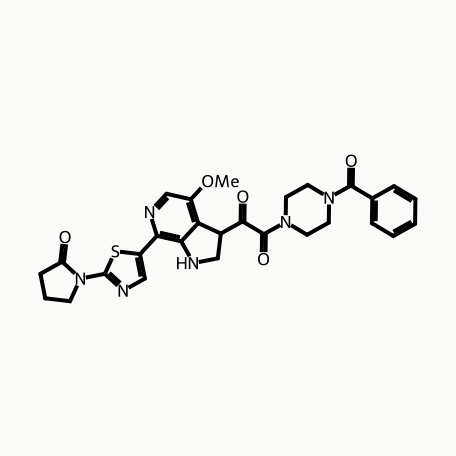 COc1cnc(-c2cnc(N3CCCC3=O)s2)c2c1C(C(=O)C(=O)N1CCN(C(=O)c3ccccc3)CC1)CN2